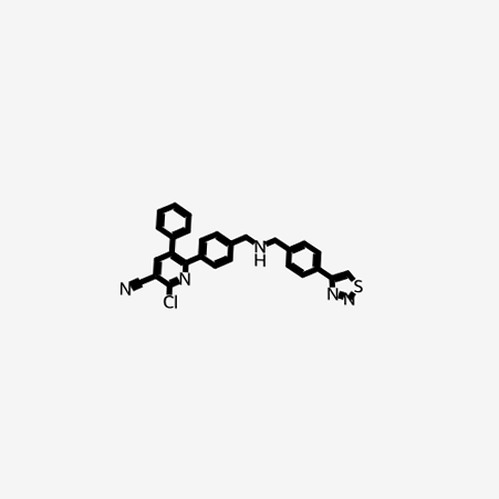 N#Cc1cc(-c2ccccc2)c(-c2ccc(CNCc3ccc(-c4csnn4)cc3)cc2)nc1Cl